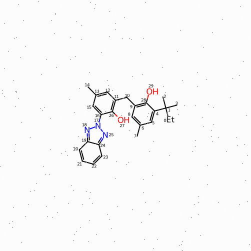 CCC(C)(C)c1cc(C)cc(Cc2cc(C)cc(-n3nc4ccccc4n3)c2O)c1O